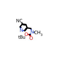 CN(Cc1cncc(C#N)c1)C(=O)OC(C)(C)C